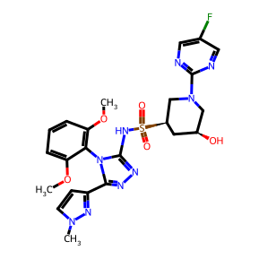 COc1cccc(OC)c1-n1c(NS(=O)(=O)[C@@H]2C[C@H](O)CN(c3ncc(F)cn3)C2)nnc1-c1ccn(C)n1